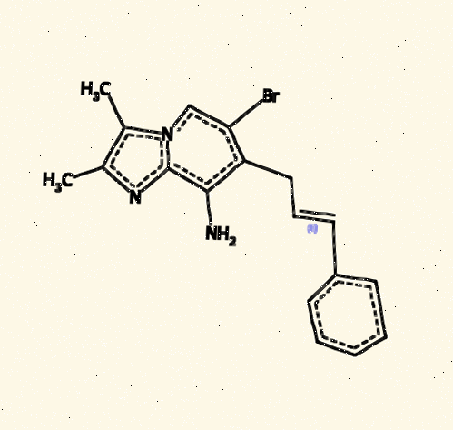 Cc1nc2c(N)c(C/C=C/c3ccccc3)c(Br)cn2c1C